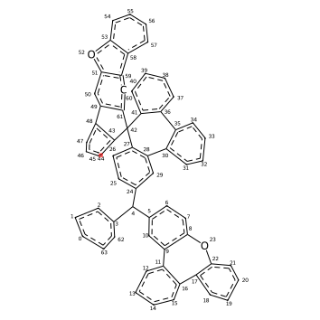 c1ccc(C(c2ccc3c(c2)-c2ccccc2-c2ccccc2O3)c2ccc3c(c2)-c2ccccc2-c2ccccc2C32c3ccccc3-c3cc4oc5ccccc5c4cc32)cc1